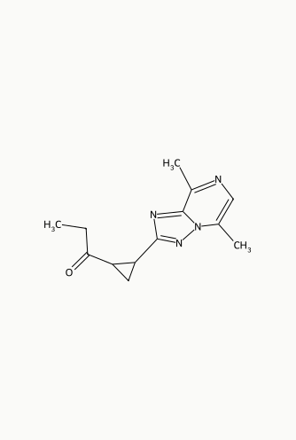 CCC(=O)C1CC1c1nc2c(C)ncc(C)n2n1